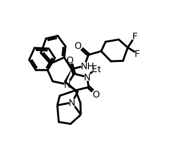 CCN1C(=O)N(Cc2ccccc2)C2(CC3CCC(C2)N3CC[C@H](NC(=O)C2CCC(F)(F)CC2)c2ccccc2)C1=O